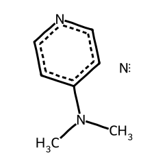 CN(C)c1ccncc1.[N]